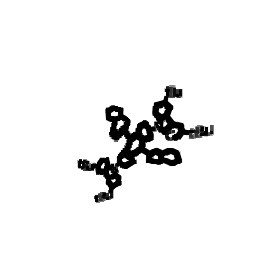 CC(C)(C)c1ccc2c(c1)c1cc(C(C)(C)C)ccc1n2-c1ccc2c(-c3ccc4ccccc4c3)c3cc(-n4c5ccc(C(C)(C)C)cc5c5cc(C(C)(C)C)ccc54)ccc3c(-c3ccc4ccccc4c3)c2c1